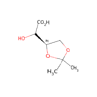 CC1(C)OC[C@H](C(O)C(=O)O)O1